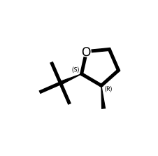 C[C@@H]1CCO[C@@H]1C(C)(C)C